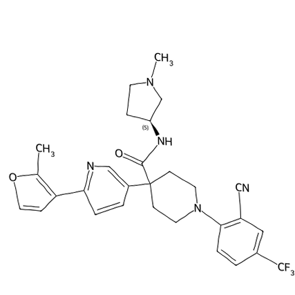 Cc1occc1-c1ccc(C2(C(=O)N[C@H]3CCN(C)C3)CCN(c3ccc(C(F)(F)F)cc3C#N)CC2)cn1